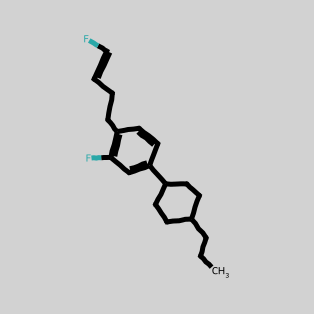 CCCC1CCC(c2ccc(CCC=CF)c(F)c2)CC1